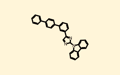 C1=NC(n2c3ccccc3c3ccccc32)N=C1c1cccc(-c2ccc(-c3ccccc3)cc2)c1